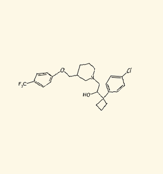 OC(CN1CCCC(COc2ccc(C(F)(F)F)cc2)C1)C1(c2ccc(Cl)cc2)CCC1